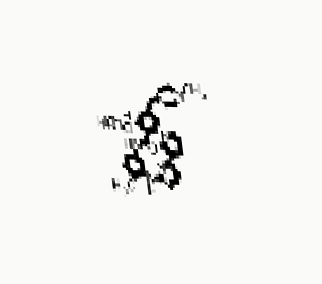 Cc1ccc(NC(=O)c2ccc(CN3CCN(C)CC3)cc2)cc1Nc1nccc(-c2cccnc2)n1.Cl.Cl.Cl